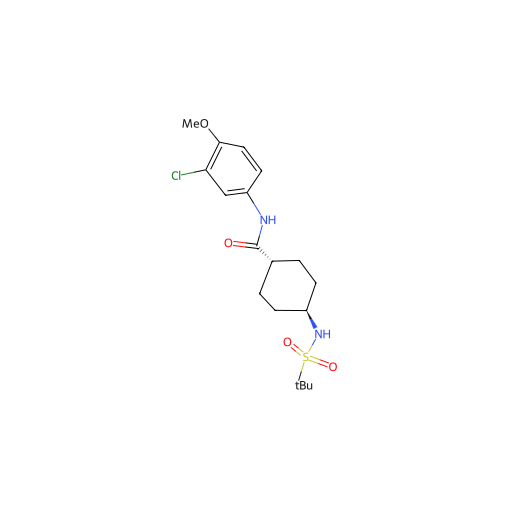 COc1ccc(NC(=O)[C@H]2CC[C@H](NS(=O)(=O)C(C)(C)C)CC2)cc1Cl